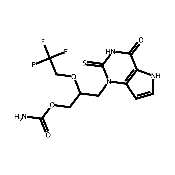 NC(=O)OCC(Cn1c(=S)[nH]c(=O)c2[nH]ccc21)OCC(F)(F)F